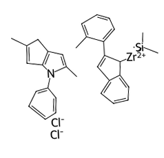 CC1=Cc2c(cc(C)n2-c2ccccc2)C1.Cc1ccccc1C1=Cc2ccccc2[CH]1[Zr+2][Si](C)C.[Cl-].[Cl-]